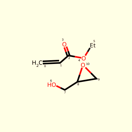 C=CC(=O)OCC.OCC1CO1